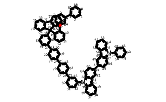 c1ccc(-c2cccc(-c3ccccc3C3(c4cccc(-c5ccc(-c6ccc(-c7cccc(-n8c9ccccc9c9cc(-c%10ccc%11c(c%10)c%10ccccc%10n%11-c%10ccccc%10)ccc98)c7)cc6)cc5)c4)c4ccccc4-c4ccccc43)c2)cc1